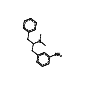 CN(C)C([CH]c1cccc(N)c1)Cc1ccccc1